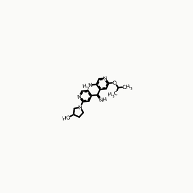 CC(C)Oc1cc(C(=N)c2ccnc(N3CCC(O)C3)c2)c(N)cn1